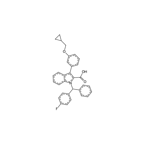 O=C(O)c1c(-c2cccc(OCC3CC3)c2)c2ccccc2n1C(c1ccccc1)c1ccc(F)cc1